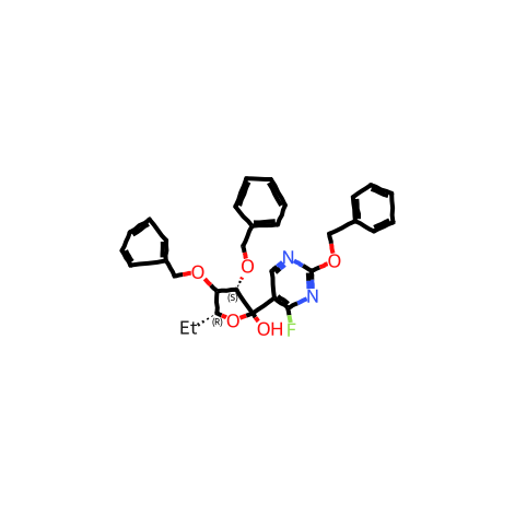 CC[C@H]1OC(O)(c2cnc(OCc3ccccc3)nc2F)[C@@H](OCc2ccccc2)C1OCc1ccccc1